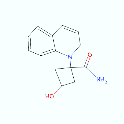 NC(=O)C1(N2CC=Cc3ccccc32)CC(O)C1